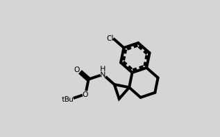 CC(C)(C)OC(=O)NC1CC12CCCc1ccc(Cl)cc12